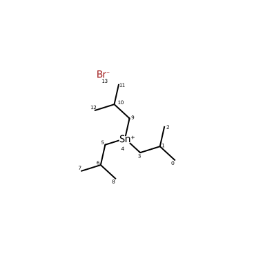 CC(C)[CH2][Sn+]([CH2]C(C)C)[CH2]C(C)C.[Br-]